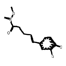 CON(C)C(=O)CCC=Cc1ccc(Cl)c(Cl)c1